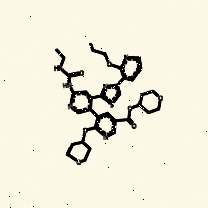 CCCOc1ncccc1-c1csc(-c2cc(NC(=O)NCC)ncc2-c2cc(C(=O)OC3CCOCC3)cnc2OC2CCOCC2)n1